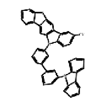 N#Cc1ccc2c(c1)c1cc3sc4ccccc4c3cc1n2-c1cccc(-c2cccc(-n3c4ccccc4c4ccccc43)c2)c1